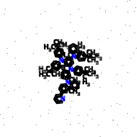 CC(C)(C)c1ccc(N2c3ccc(C(C)(C)C)cc3B3c4ccc(N5c6ccc(-c7ccccn7)cc6C6(C)CCCCC56C)cc4N(c4ccc(C(C)(C)C)cc4)c4cc(N5c6ccc(C(C)(C)C)cc6C6(C)CCCCC56C)cc2c43)cc1